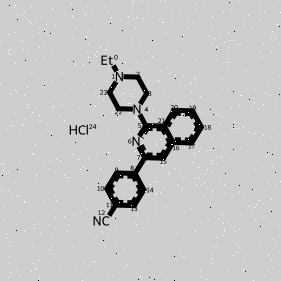 CCN1CCN(c2nc(-c3ccc(C#N)cc3)cc3ccccc23)CC1.Cl